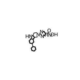 O=C(NO)c1cnc(N2CCc3[nH]c4ccc(-c5ccccc5)cc4c3C2)nc1